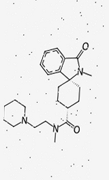 CN(CCN1CCCCC1)C(=O)[C@H]1CC[C@]2(CC1)c1ccccc1C(=O)N2C